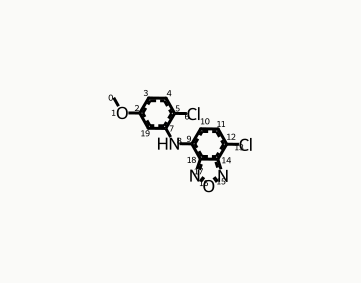 COc1ccc(Cl)c(Nc2ccc(Cl)c3nonc23)c1